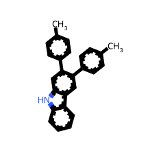 Cc1ccc(-c2cc3[nH]c4ccccc4c3cc2-c2ccc(C)cc2)cc1